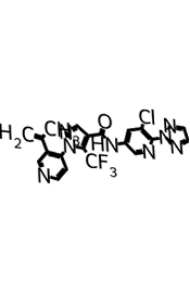 C=C(C)c1cnccc1-n1ncc(C(=O)Nc2cnc(-n3nccn3)c(Cl)c2)c1C(F)(F)F